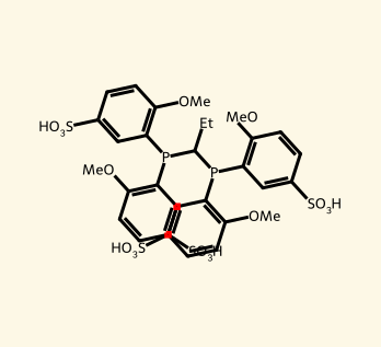 CCC(P(c1cc(S(=O)(=O)O)ccc1OC)c1cc(S(=O)(=O)O)ccc1OC)P(c1cc(S(=O)(=O)O)ccc1OC)c1cc(S(=O)(=O)O)ccc1OC